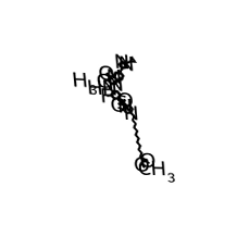 COC(=O)CCCCCCCCCCCCN1CCN(S(=O)(=O)c2ccc(Nc3nc4ccc(-c5cnn(C6CC6)c5)cn4c(=O)c3C)c(F)c2)CC1